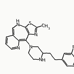 Cc1nc2c(s1)NC=c1cccnc1=C2N1CCNC(CCc2cccc(F)c2)C1